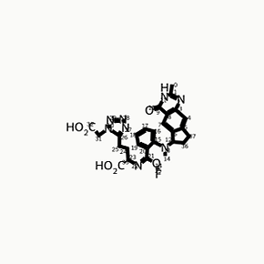 Cc1nc2cc3c(cc2c(=O)[nH]1)C(N(C)c1ccccc1/C(=N\[C@@H](CCc1nnnn1CC(=O)O)C(=O)O)OF)CC3